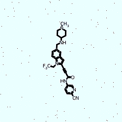 CN1CCC(NCc2ccc3c(c2)cc(C#CC(=O)Nc2ccc(C#N)nc2)n3CC(F)(F)F)CC1